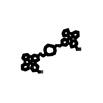 Oc1ccc(C2(c3ccc(OCc4ccccc(COc5ccc(C6(c7ccc(O)cc7)c7ccccc7-c7ccccc76)cc5)cccc4)cc3)c3ccccc3-c3ccccc32)cc1